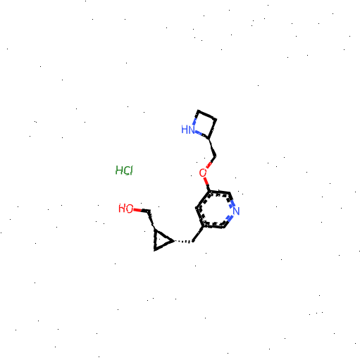 Cl.OC[C@@H]1C[C@H]1Cc1cncc(OC[C@@H]2CCN2)c1